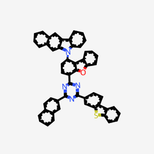 c1ccc2cc(-c3nc(-c4ccc5c(c4)sc4ccccc45)nc(-c4ccc(-n5c6ccccc6c6cc7ccccc7cc65)c5c4oc4ccccc45)n3)ccc2c1